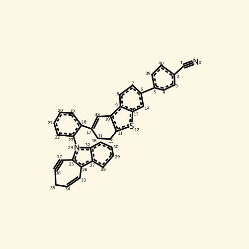 N#Cc1ccc(-c2ccc3c4c(sc3c2)CCC(c2ccccc2-n2c3c(c5ccccc52)C=CCC#C3)=C4)cc1